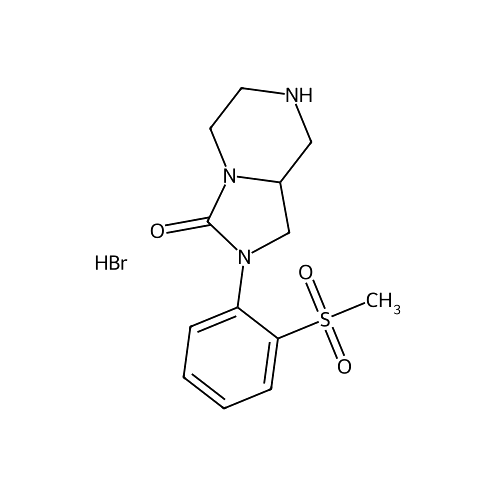 Br.CS(=O)(=O)c1ccccc1N1CC2CNCCN2C1=O